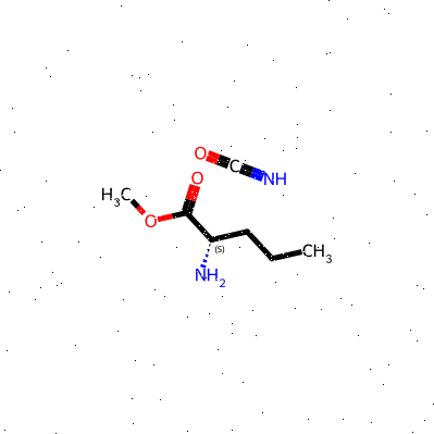 CCC[C@H](N)C(=O)OC.N=C=O